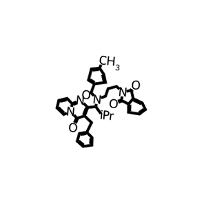 Cc1ccc(C(=O)N(CCCN2C(=O)c3ccccc3C2=O)C(c2nc3ccccn3c(=O)c2Cc2ccccc2)C(C)C)cc1